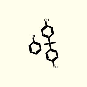 CC(C)(c1ccc(O)cc1)c1ccc(O)cc1.Oc1ccccc1